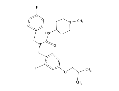 CC(C)COc1ccc(CN(Cc2ccc(F)cc2)C(=O)NC2CCN(C)CC2)c(F)c1